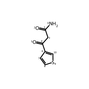 NC(=O)CC(=O)c1ccsc1